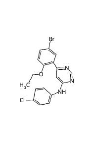 CCOc1ccc(Br)cc1-c1cc(Nc2ccc(Cl)cc2)ncn1